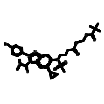 CNC(=O)c1c2cc(C3CC3)c(N(CCCC(=O)OCOC(=O)C(C)(C)C)S(C)(=O)=O)cc2nn1-c1ccc(Br)cc1